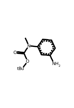 CN(C(=O)OC(C)(C)C)c1cccc(N)c1